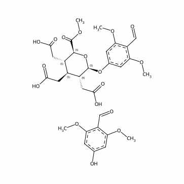 COC(=O)[C@H]1O[C@@H](Oc2cc(OC)c(C=O)c(OC)c2)[C@H](CC(=O)O)[C@@H](CC(=O)O)[C@@H]1CC(=O)O.COc1cc(O)cc(OC)c1C=O